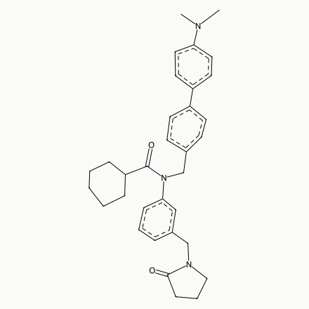 CN(C)c1ccc(-c2ccc(CN(C(=O)C3CCCCC3)c3cccc(CN4CCCC4=O)c3)cc2)cc1